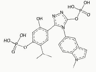 CC(C)c1cc(-c2nnc(OP(=O)(O)O)n2-c2ccc3c(ccn3C)c2)c(O)cc1OP(=O)(O)O